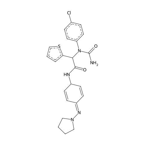 NC(=O)N(c1ccc(Cl)cc1)C(C(=O)NC1C=CC(=NN2CCCC2)C=C1)c1cccs1